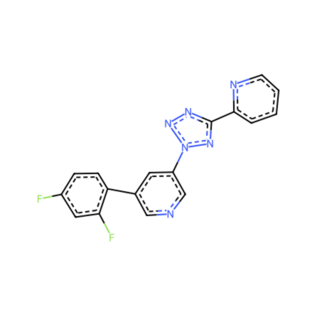 Fc1ccc(-c2cncc(-n3nnc(-c4ccccn4)n3)c2)c(F)c1